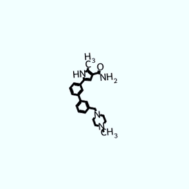 Cc1[nH]c(-c2cccc(-c3cccc(CN4CCN(C)CC4)c3)c2)cc1C(N)=O